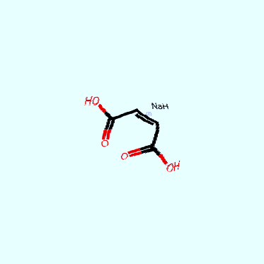 O=C(O)/C=C\C(=O)O.[NaH]